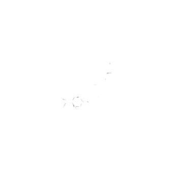 CC(C)(C)OC(=O)N1CCC(CCOc2ccc(C(N)=O)nc2)CC1